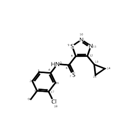 Cc1ccc(NC(=S)c2snnc2C2CC2)cc1Cl